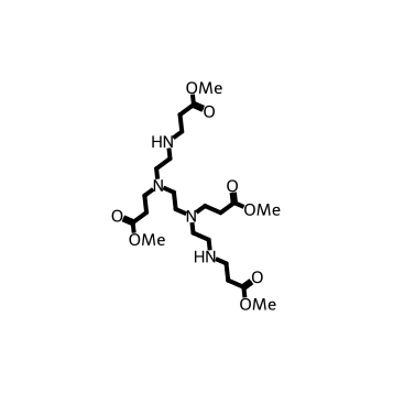 COC(=O)CCNCCN(CCC(=O)OC)CCN(CCNCCC(=O)OC)CCC(=O)OC